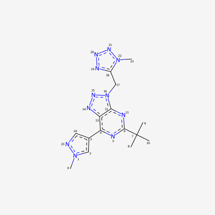 Cn1cc(-c2nc(C(C)(C)C)nc3c2nnn3Cc2nnnn2C)cn1